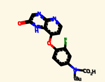 CC(C)(C)N(C(=O)O)c1ccc(Oc2ccnc3ncc(=O)[nH]c23)c(F)c1